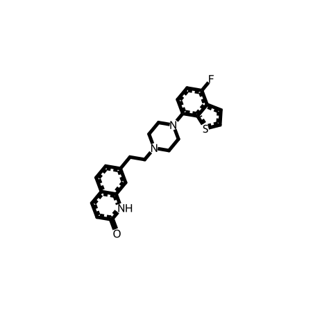 O=c1ccc2ccc(CCN3CCN(c4ccc(F)c5ccsc45)CC3)cc2[nH]1